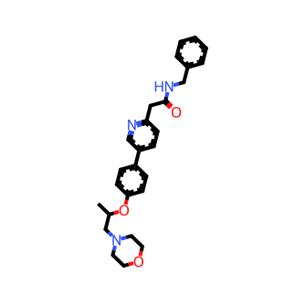 CC(CN1CCOCC1)Oc1ccc(-c2ccc(CC(=O)NCc3ccccc3)nc2)cc1